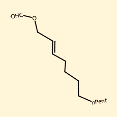 CCCCCCCCC/C=C/CO[C]=O